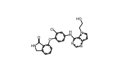 O=C1NCc2cccc(Oc3ccc(Nc4ncnc5ccn(CCO)c45)cc3Cl)c21